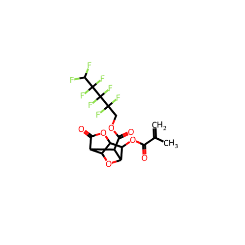 C=C(C)C(=O)OC1C2OC(=O)C3C2OC1C3C(=O)OCC(F)(F)C(F)(F)C(F)(F)C(F)F